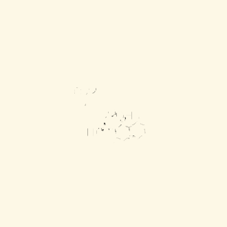 COC(=O)CCCC(=O)N(O)c1ccc2ccccc2c1O